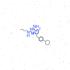 CCCCNc1nc(N)c2ncc(Cc3ccc(C4CCCCC4)cc3)n2n1